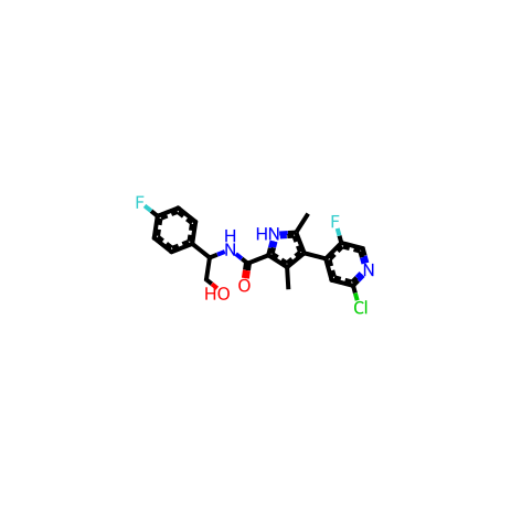 Cc1[nH]c(C(=O)NC(CO)c2ccc(F)cc2)c(C)c1-c1cc(Cl)ncc1F